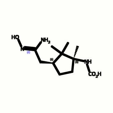 CC1(C)[C@H](C/C(N)=N/O)CC[C@]1(C)NC(=O)O